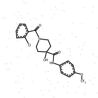 O=C(c1ccccc1Cl)N1CCC(O)(C(=O)Nc2ccc(OC(F)(F)F)cc2)CC1